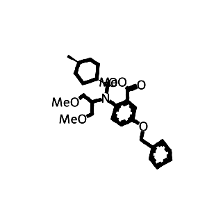 COCC(COC)N(c1ccc(OCc2ccccc2)cc1C(=O)OC)C(=O)[C@H]1CC[C@H](C)CC1